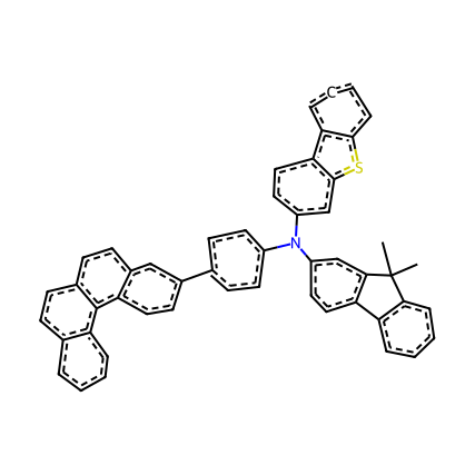 CC1(C)c2ccccc2-c2ccc(N(c3ccc(-c4ccc5c(ccc6ccc7ccccc7c65)c4)cc3)c3ccc4c(c3)sc3ccccc34)cc21